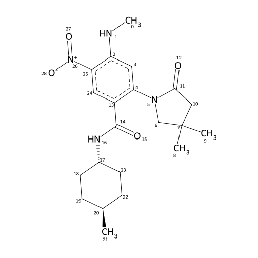 CNc1cc(N2CC(C)(C)CC2=O)c(C(=O)N[C@H]2CC[C@H](C)CC2)cc1[N+](=O)[O-]